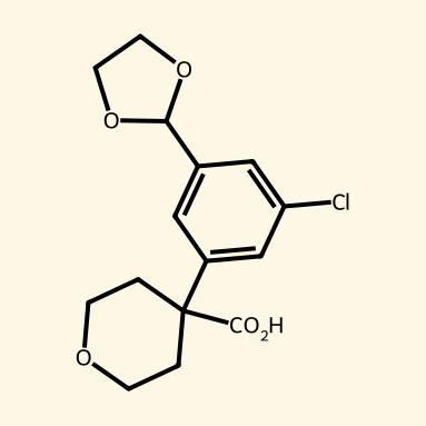 O=C(O)C1(c2cc(Cl)cc(C3OCCO3)c2)CCOCC1